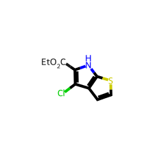 CCOC(=O)c1[nH]c2sccc2c1Cl